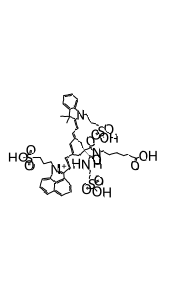 CC1(C)/C(=C\C=C2C=C(/C=C/C3=[N+](CCCS(=O)(=O)O)c4cccc5cccc3c45)CC(C(=O)NCCCCCC(=O)O)(C(=O)NCCS(=O)(=O)O)C\2)N(CCCS(=O)(=O)O)c2ccccc21